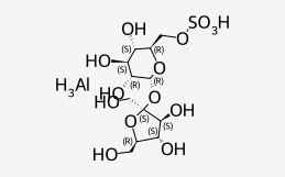 O=S(=O)(O)OC[C@H]1O[C@H](O[C@]2(CO)O[C@H](CO)[C@@H](O)[C@@H]2O)[C@H](O)[C@@H](O)[C@@H]1O.[AlH3]